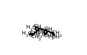 COC(C)(C)CCCC1=CC(C)(C)C=C(CCCC2=CC(C)(C)C=C(CCCC(C)(C)CO)C2O)C1O